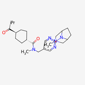 CC(C)C(=O)[C@H]1CC[C@H](C(=O)N(C)Cc2cnc(N3C4CCC3CN(C)C4)nc2)CC1